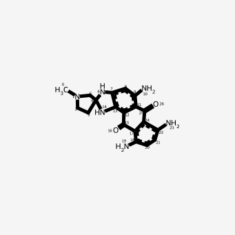 CN1CCC2(C1)Nc1cc(N)c3c(c1N2)C(=O)c1c(N)ccc(N)c1C3=O